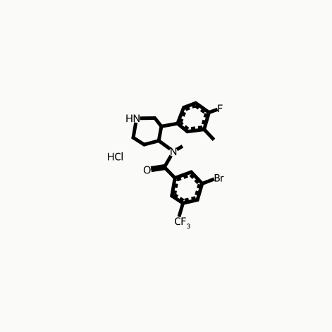 Cc1cc(C2CNCCC2N(C)C(=O)c2cc(Br)cc(C(F)(F)F)c2)ccc1F.Cl